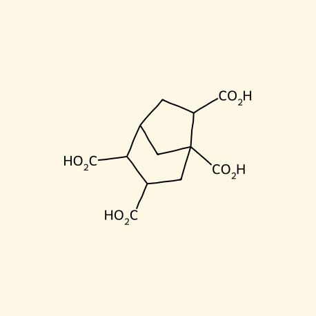 O=C(O)C1CC2(C(=O)O)CC(CC2C(=O)O)C1C(=O)O